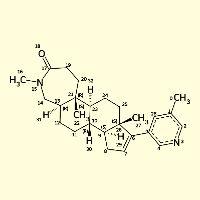 Cc1cncc(C2=CC[C@H]3[C@@H]4CC[C@H]5CN(C)C(=O)CC[C@]5(C)[C@H]4CC[C@]23C)c1